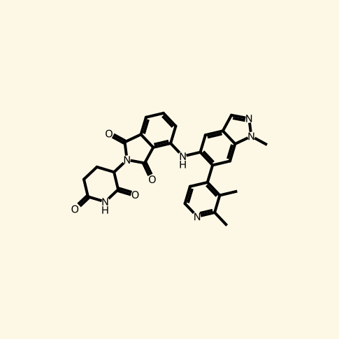 Cc1nccc(-c2cc3c(cnn3C)cc2Nc2cccc3c2C(=O)N(C2CCC(=O)NC2=O)C3=O)c1C